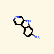 Nc1ccc2c(c1)[nH]c1cnccc12